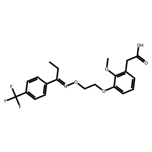 CC/C(=N\OCCOc1cccc(CC(=O)O)c1OC)c1ccc(C(F)(F)F)cc1